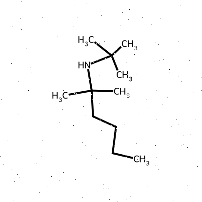 CCCCC(C)(C)NC(C)(C)C